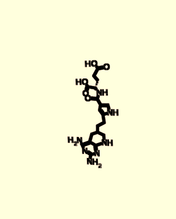 Nc1nc(N)c2c(n1)NCC(CCc1cc(C(=O)N[C@@H](CCC(=O)O)C(=O)O)c[nH]1)C2